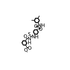 COC(=O)c1cccc(C(=O)NC(=S)Nc2ccc(S(=O)(=O)Nc3cc(C)cc(C)c3)cc2)c1